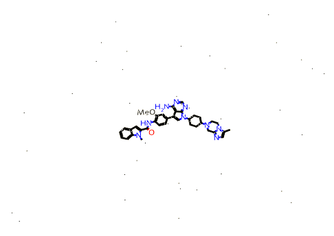 COc1cc(-c2cn(C3CCC(N4CCn5c(C)cnc5C4)CC3)c3ncnc(N)c23)ccc1NC(=O)c1cc2ccccc2n1C